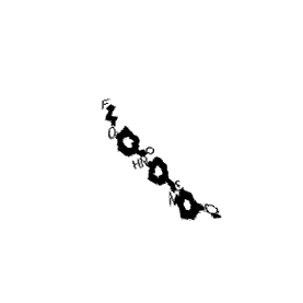 COc1ccc2nc(-c3ccc(NC(=O)c4ccc(OCCCF)cc4)cc3)sc2c1